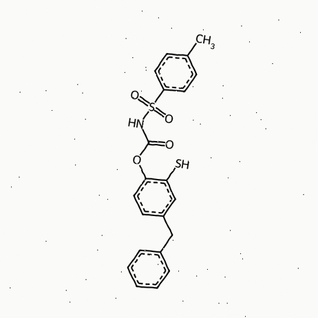 Cc1ccc(S(=O)(=O)NC(=O)Oc2ccc(Cc3ccccc3)cc2S)cc1